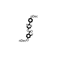 CCCCCCCCCCOc1ccc(C(=O)Oc2cnc(-c3ccc(CCCCCCCCCC)cc3)nc2)c(F)c1